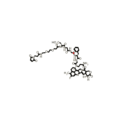 CC[C@@]1(O)C(=O)OCc2c1cc1n(c2=O)Cc2c-1nc1cc(F)c(C)c3c1c2[C@@H](N(CCC(N)=O)C(=O)CNC(=O)[C@H](Cc1ccccc1)NC(=O)CNC(=O)CNC(=O)[C@H](CC(=O)O)NC(=O)CCOCCOCCNC(=O)CCN1C(=O)C=CC1=O)CC3